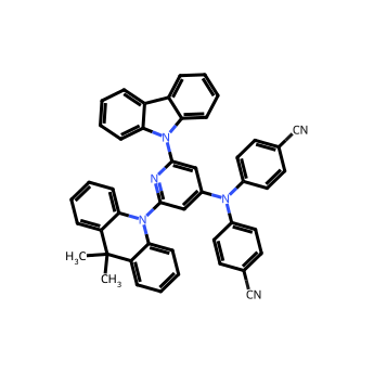 CC1(C)c2ccccc2N(c2cc(N(c3ccc(C#N)cc3)c3ccc(C#N)cc3)cc(-n3c4ccccc4c4ccccc43)n2)c2ccccc21